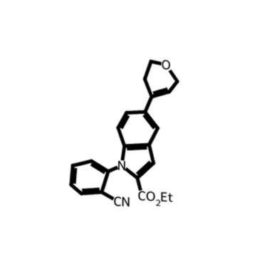 CCOC(=O)c1cc2cc(C3=CCOCC3)ccc2n1-c1ccccc1C#N